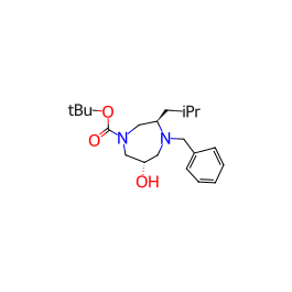 CC(C)C[C@@H]1CN(C(=O)OC(C)(C)C)C[C@@H](O)CN1Cc1ccccc1